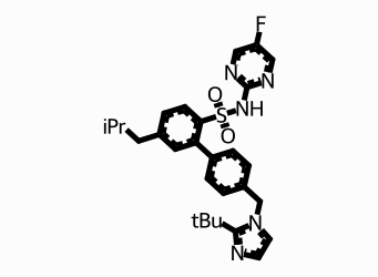 CC(C)Cc1ccc(S(=O)(=O)Nc2ncc(F)cn2)c(-c2ccc(Cn3ccnc3C(C)(C)C)cc2)c1